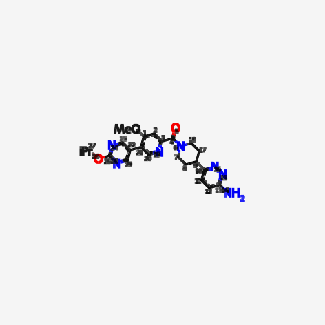 COc1cc(C(=O)N2CCC(c3ccc(N)nn3)CC2)ncc1-c1cnc(OC(C)C)nc1